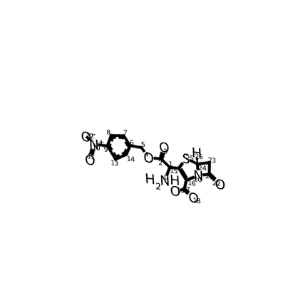 NC(C(=O)OCc1ccc([N+](=O)[O-])cc1)C1=C(C(=O)O)N2C(=O)C[C@H]2S1